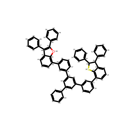 c1ccc(-c2cc(-c3cccc(-c4cccc5c4SC(c4ccccc4)C5c4ccccc4)c3)cc(-c3cccc(-c4cccc5c(-c6ccccc6)c(-c6ccccc6)oc45)c3)c2)cc1